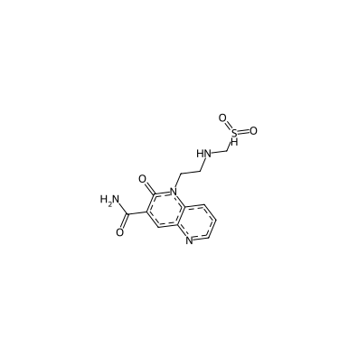 NC(=O)c1cc2ncccc2n(CCNC[SH](=O)=O)c1=O